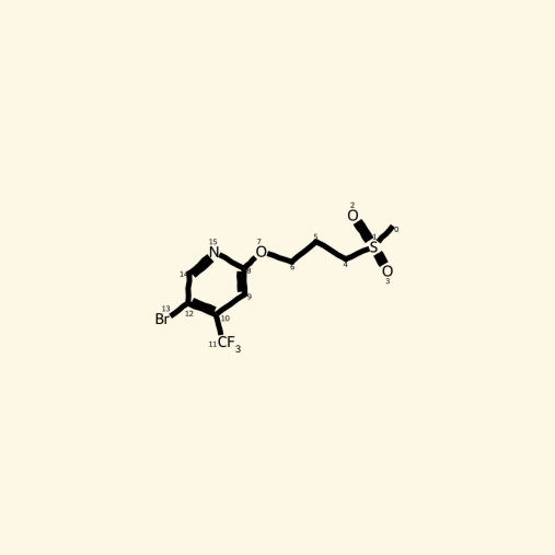 CS(=O)(=O)CCCOc1cc(C(F)(F)F)c(Br)cn1